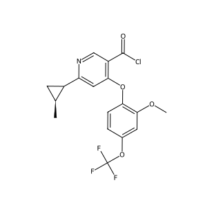 COc1cc(OC(F)(F)F)ccc1Oc1cc(C2C[C@@H]2C)ncc1C(=O)Cl